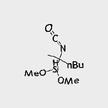 CCCCC(C)(N=C=O)[SiH](OC)OC